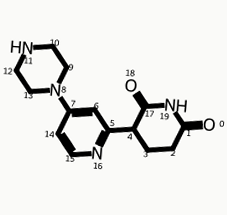 O=C1CCC(c2cc(N3CCNCC3)ccn2)C(=O)N1